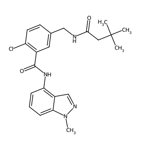 Cn1ncc2c(NC(=O)c3cc(CNC(=O)CC(C)(C)C)ccc3Cl)cccc21